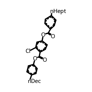 CCCCCCCCCCc1ccc(OC(=O)c2ccc(OC(=O)c3ccc(CCCCCCC)cc3)cc2Cl)cc1